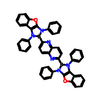 c1ccc(N2B(c3ccc4nc(B5N(c6ccccc6)c6oc7ccccc7c6N5c5ccccc5)ccc4n3)N(c3ccccc3)c3c2oc2ccccc32)cc1